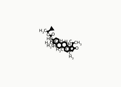 CC(C)C1=C2[C@H]3CC[C@@H]4[C@@]5(C)CCC(NC(=O)OC(C)C6CC6)C(C)(C)[C@@H]5CC[C@@]4(C)[C@]3(C)CC[C@@]2(C)CC1=O